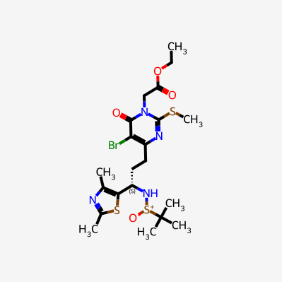 CCOC(=O)Cn1c(SC)nc(CC[C@H](N[S+]([O-])C(C)(C)C)c2sc(C)nc2C)c(Br)c1=O